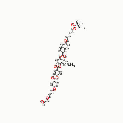 C=C(C)C(=O)OCCCCCCOc1ccc2cc(C(=O)Oc3ccc(OC(=O)c4ccc(OC(=O)c5ccc(OCCCCOCC6CO6)cc5)cc4)c(CCC)c3)ccc2c1